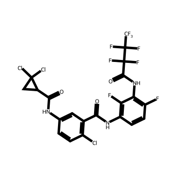 O=C(Nc1ccc(F)c(NC(=O)C(F)(F)C(F)(F)C(F)(F)F)c1F)c1cc(NC(=O)C2CC2(Cl)Cl)ccc1Cl